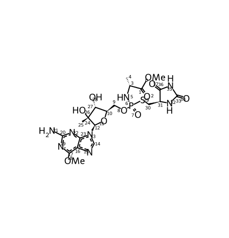 COC(=O)[C@@H](C)N[P@@](=O)(OC[C@H]1O[C@@H](n2cnc3c(OC)nc(N)nc32)[C@](C)(O)[C@@H]1O)SC[C@@H]1NC(=O)NC1=O